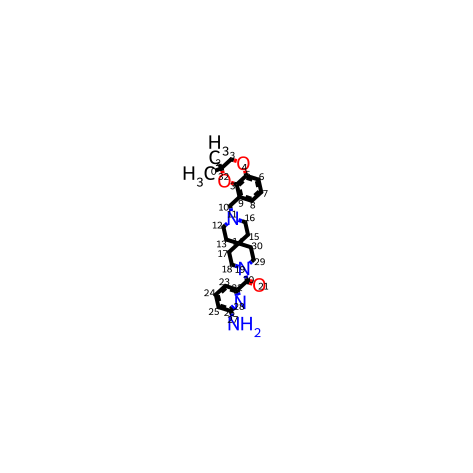 CC1(C)COc2cccc(CN3CCC4(CC3)CCN(C(=O)c3cccc(N)n3)CC4)c2O1